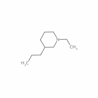 [CH2]CCC1CCCN(CC)C1